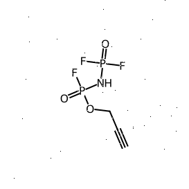 C#CCOP(=O)(F)NP(=O)(F)F